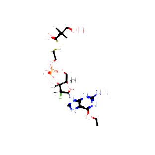 CCOc1nc(N)nc2c1ncn2[C@@H]1O[C@@H]2CO[P@](=O)(OCCSC(=O)C(C)(C)CO)O[C@H]2[C@@]1(C)F